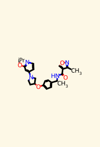 Cc1nocc1C(=O)N[C@@H](C)c1ccc(OC2CCN(c3ccnc(OC(C)C)c3)C2)cc1